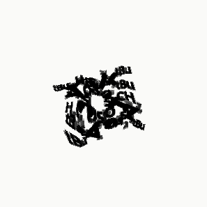 CC(C)(C)[Si]1(C(C)(C)C)CC1[Si]1(C)O[Si](C)(C2C[Si]2(C(C)(C)C)C(C)(C)C)O[Si](C)(C2C[Si]2(C(C)(C)C)C(C)(C)C)O[Si](C)(C2C[Si]2(C(C)(C)C)C(C)(C)C)O1